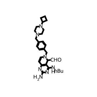 CCCCNc1nc(N)nc2c1C(C=O)N(Cc1ccc(CN3CCN(C4CCC4)CC3)cc1)C=C2